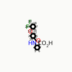 O=C(Nc1ccccc1C(=O)O)c1ccc(Oc2cccc(F)c2F)cc1